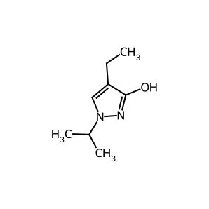 CCc1cn(C(C)C)nc1O